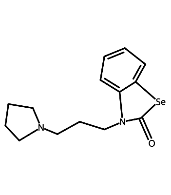 O=c1[se]c2ccccc2n1CCCN1CCCC1